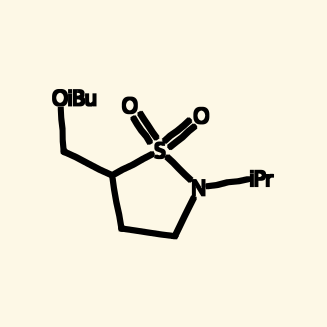 CC(C)COCC1CCN(C(C)C)S1(=O)=O